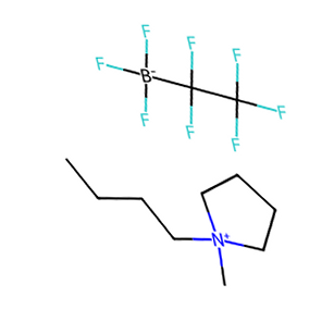 CCCC[N+]1(C)CCCC1.F[B-](F)(F)C(F)(F)C(F)(F)F